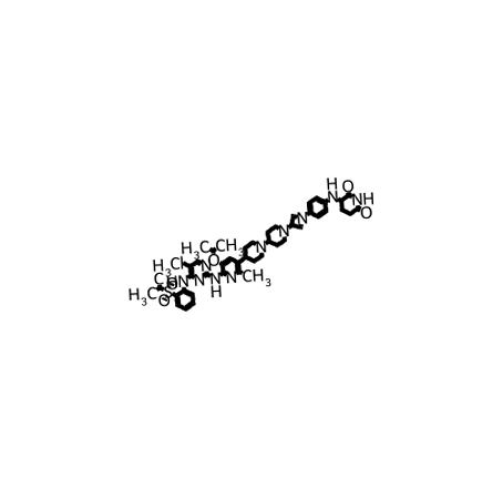 Cc1nc(Nc2ncc(Cl)c(Nc3ccccc3S(=O)(=O)C(C)C)n2)c(OC(C)C)cc1C1CCN(C2CCN(C3CN(c4ccc(NC5CCC(=O)NC5=O)cc4)C3)CC2)CC1